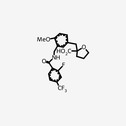 COc1ccc(CC2(C(=O)O)CCCO2)cc1CNC(=O)c1ccc(C(F)(F)F)cc1F